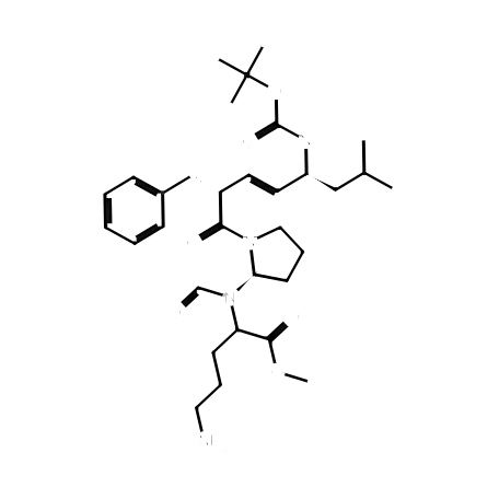 COC(=O)C(CCCN)N(C=O)[C@@H]1CCCN1C(=O)[C@@H](/C=C/[C@H](CC(C)C)NC(=O)OC(C)(C)C)Cc1ccccc1